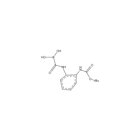 CC(C)(C)OC(=O)Nc1ccccc1NC(=O)B(O)O